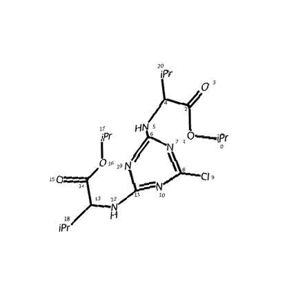 CC(C)OC(=O)C(Nc1nc(Cl)nc(NC(C(=O)OC(C)C)C(C)C)n1)C(C)C